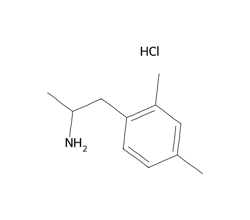 Cc1ccc(CC(C)N)c(C)c1.Cl